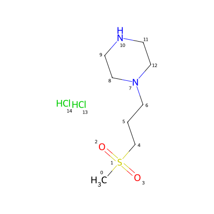 CS(=O)(=O)CCCN1CCNCC1.Cl.Cl